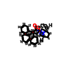 O=C(O)[C@@H]1[C@H]2CC[C@@H](CN1C(=O)C(c1ccccc1)c1ccccc1)N2C(=O)CCc1ccccc1